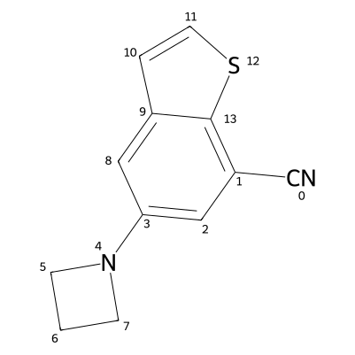 N#Cc1cc(N2CCC2)cc2ccsc12